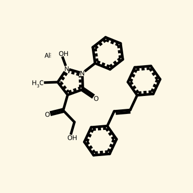 C(=Cc1ccccc1)c1ccccc1.Cc1c(C(=O)CO)c(=O)n(-c2ccccc2)n1O.[Al]